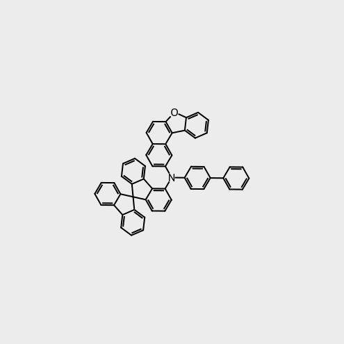 c1ccc(-c2ccc(N(c3ccc4ccc5oc6ccccc6c5c4c3)c3cccc4c3-c3ccccc3C43c4ccccc4-c4ccccc43)cc2)cc1